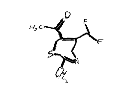 CC(=O)c1sc(C)nc1C(F)F